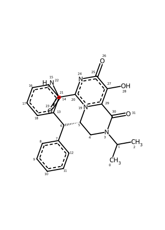 CC(C)N1C[C@H](C(c2ccccc2)c2ccccc2)n2c(C(N)=O)nc(=O)c(O)c2C1=O